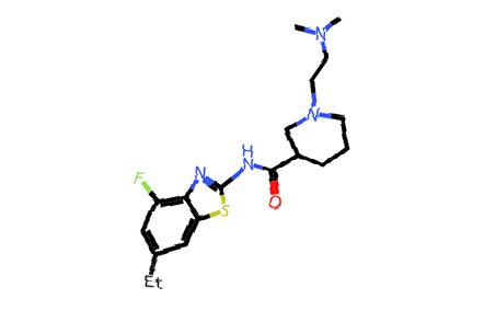 CCc1cc(F)c2nc(NC(=O)C3CCCN(CCN(C)C)C3)sc2c1